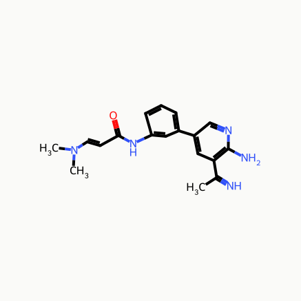 CC(=N)c1cc(-c2cccc(NC(=O)/C=C/N(C)C)c2)cnc1N